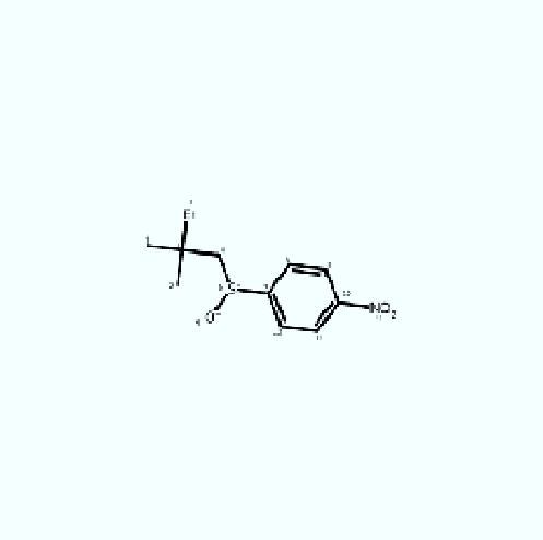 CCC(C)(C)C[S+]([O-])c1ccc([N+](=O)[O-])cc1